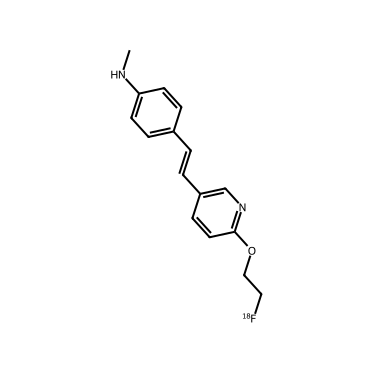 CNc1ccc(/C=C/c2ccc(OCC[18F])nc2)cc1